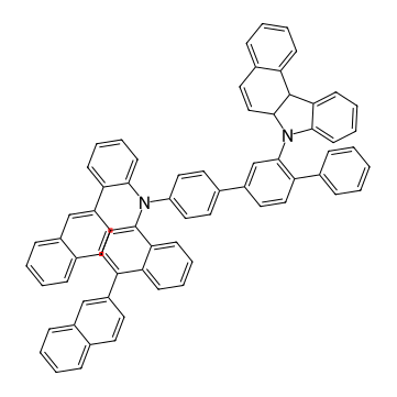 C1=CC2C(c3ccccc31)c1ccccc1N2c1cc(-c2ccc(N(c3ccccc3-c3ccc4ccccc4c3)c3ccc(-c4ccc5ccccc5c4)c4ccccc34)cc2)ccc1-c1ccccc1